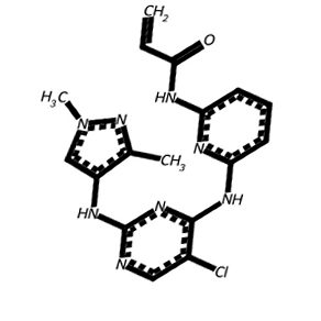 C=CC(=O)Nc1cccc(Nc2nc(Nc3cn(C)nc3C)ncc2Cl)n1